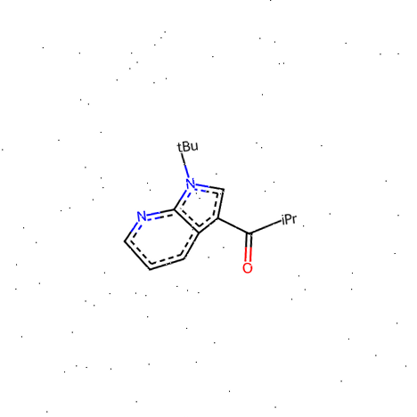 CC(C)C(=O)c1cn(C(C)(C)C)c2ncccc12